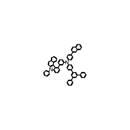 c1ccc(-c2cc(-c3ccccc3)cc(-c3ccc(N(c4ccc(-c5ccc6ccccc6c5)cc4)c4cccc(-c5cccc6c5c5c7ccccc7ccc5n6-c5ccccc5)c4)cc3)c2)cc1